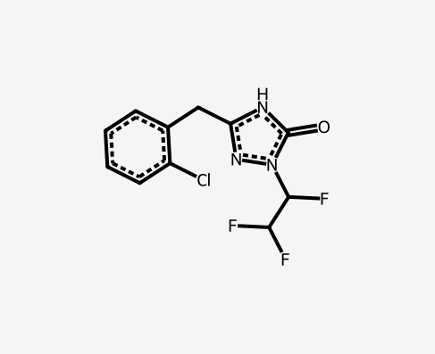 O=c1[nH]c(Cc2ccccc2Cl)nn1C(F)C(F)F